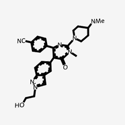 CNC1CCN(c2nc(-c3ccc(C#N)cc3)c(-c3ccc4nn(CCO)cc4c3)c(=O)n2C)CC1